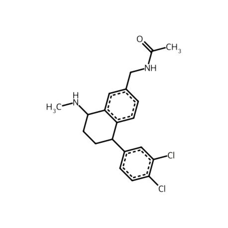 CNC1CCC(c2ccc(Cl)c(Cl)c2)c2ccc(CNC(C)=O)cc21